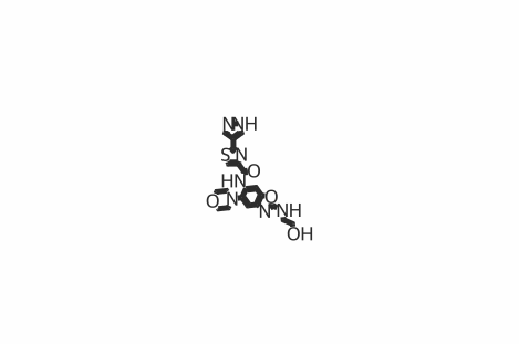 O=C(Nc1cc2oc(NCCO)nc2cc1N1CCOCC1)c1csc(-c2cn[nH]c2)n1